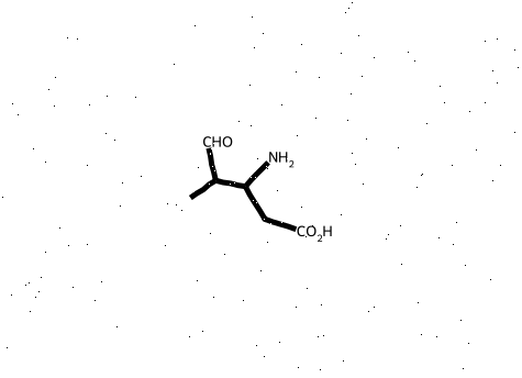 CC(C=O)C(N)CC(=O)O